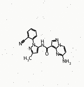 Cc1cc(NC(=O)c2cnn3ccc(N)nc23)n(-c2ccccc2C#N)n1